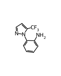 Nc1ccccc1-n1nccc1C(F)(F)F